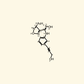 OCC#Cc1cccc(N/C(=N\O)c2nonc2[AsH2])c1